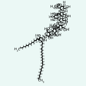 CCCCCCCCCCCCC/C=C/[C@@H](O)[C@H](CO[C@@H]1OC(CO)[C@@H](O[C@@H]2OC(CO)[C@H](O[C@@H]3OC(CO)[C@H](O)[C@H](O[C@@H]4OC(CO)[C@H](O)[C@H](O[C@H]5OC(CO)[C@H](O)[C@H](O[C@@H]6OC(CO)[C@H](O)[C@H](O)C6NC(C)=O)C5O)C4O[C@H]4OC(C)[C@@H](O)C(O)[C@@H]4O)C3NC(C)=O)[C@H](O)C2O)[C@H](O)C1O)NC(=O)CCCCCCCCCCCCCCCCCCCCCCCCC